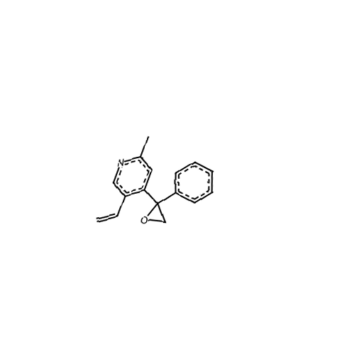 C=Cc1cnc(C)cc1C1(c2ccccc2)CO1